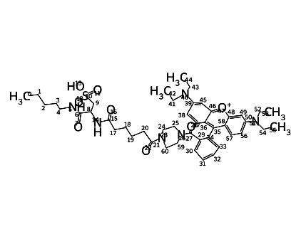 CCCCCNC(=O)C(CS(=O)(=O)O)NC(=O)CCCCC(=O)N1CCN(C(=O)c2ccccc2-c2c3ccc(N(CC)CC)cc3[o+]c3cc(N(CC)CC)ccc23)CC1